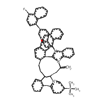 C=C1CC2C(CCc3ccc4c(sc5ccc(-c6ccc(F)c7ccccc67)cc54)c3-c3n(-c4cccc5ccccc45)c4ccccc4[n+]31)c1ccccc1-c1ccc([Si](C)(C)C)c[n+]12